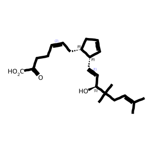 CC(C)=CCC(C)(C)[C@@H](O)/C=C/[C@H]1C=CC[C@H]1C/C=C\CCC(=O)C(=O)O